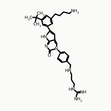 CC(C)(C)c1cc(CCCCN)cc(-c2cc3cn(-c4ccc(CNCCCNC(=N)N)cc4)c(=O)nc3[nH]2)c1